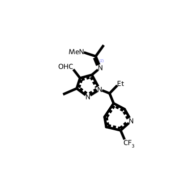 CCC(c1ccc(C(F)(F)F)nc1)n1nc(C)c(C=O)c1/N=C(/C)NC